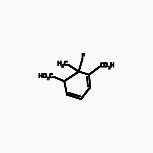 CC1(F)C(C(=O)O)=CC=CC1C(=O)O